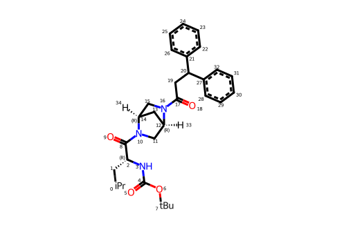 CC(C)C[C@@H](NC(=O)OC(C)(C)C)C(=O)N1C[C@H]2C[C@@H]1CN2C(=O)CC(c1ccccc1)c1ccccc1